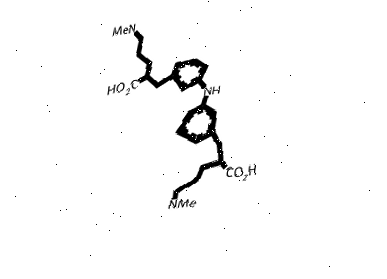 CNCCCC(Cc1cccc(Nc2cccc(CC(CCCNC)C(=O)O)c2)c1)C(=O)O